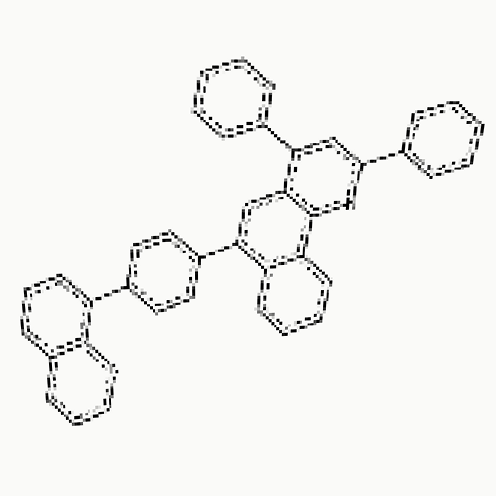 c1ccc(-c2cc(-c3ccccc3)c3cc(-c4ccc(-c5cccc6cccnc56)cc4)c4ccccc4c3n2)cc1